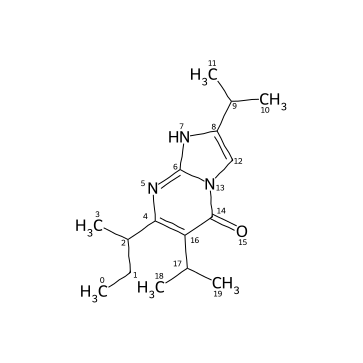 CCC(C)c1nc2[nH]c(C(C)C)cn2c(=O)c1C(C)C